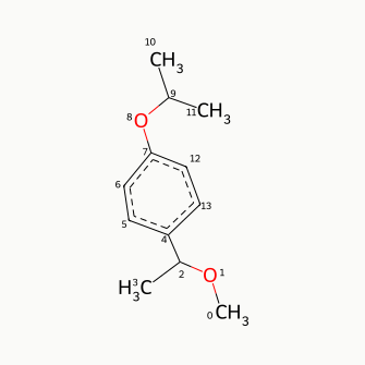 COC(C)c1ccc(OC(C)C)cc1